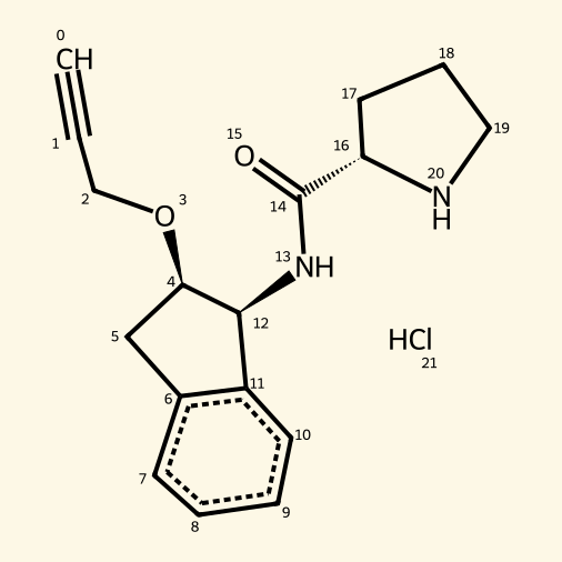 C#CCO[C@@H]1Cc2ccccc2[C@@H]1NC(=O)[C@@H]1CCCN1.Cl